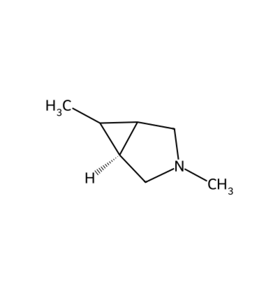 CC1C2CN(C)C[C@@H]12